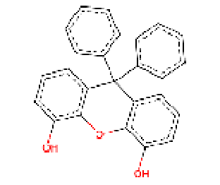 Oc1cccc2c1Oc1c(O)cccc1C2(c1ccccc1)c1ccccc1